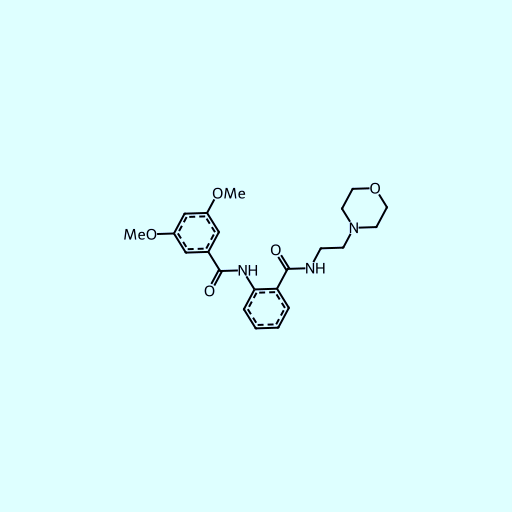 COc1cc(OC)cc(C(=O)Nc2ccccc2C(=O)NCCN2CCOCC2)c1